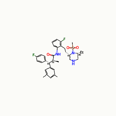 CC[C@@H]1CNC[C@H](CCc2c(F)cccc2NC(=O)[C@@H](C)[C@@H](c2ccc(F)cc2)c2cc(C)cc(C)c2)N1S(C)(=O)=O